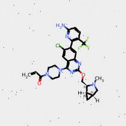 C=CC(=O)N1CCN(c2nc(OC[C@@H]3[C@@H]4C[C@@H]4CN3C)nc3cc(-c4nc(N)ccc4C(F)(F)F)c(Cl)cc23)CC1